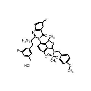 COc1ccc(CN(c2nn(C)c3c(-n4c([C@@H](N)Cc5cc(F)cc(F)c5)nc5ncc(Br)cc5c4=O)ccc(Cl)c23)S(C)(=O)=O)cc1.Cl